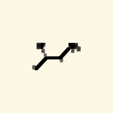 CCCN.F